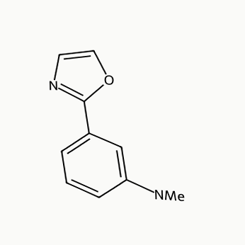 CNc1cccc(-c2ncco2)c1